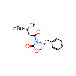 CCCCC(CC)CC(=O)N1C(=O)OC[C@H]1Cc1ccccc1